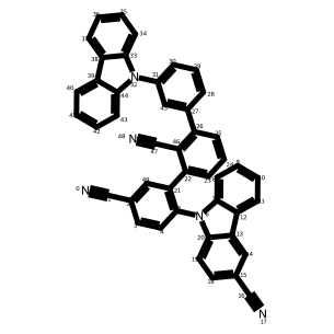 N#Cc1ccc(-n2c3ccccc3c3cc(C#N)ccc32)c(-c2cccc(-c3cccc(-n4c5ccccc5c5ccccc54)c3)c2C#N)c1